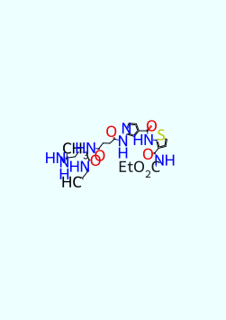 C#CCNC(=O)[C@H](CCC1(C)NN1)NC(=O)CCC(=O)Nc1cc(C(=O)Nc2sccc2C(=O)NC(=O)OCC)ccn1